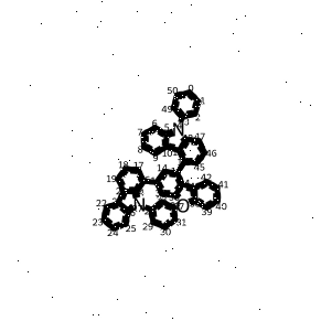 c1ccc(-n2c3ccccc3c3c(-c4cc(-c5cccc6c7ccccc7n(-c7ccccc7)c56)cc5oc6ccccc6c45)cccc32)cc1